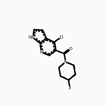 O=C(c1cnc2[nH]ccc2c1Cl)N1CCC(F)CC1